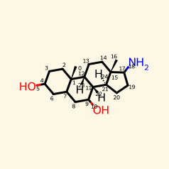 C[C@]12CCC(O)CC1CC(O)[C@@H]1[C@H]2CC[C@]2(C)C(N)CC[C@@H]12